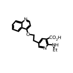 CCNc1ncc(CCOc2ccnc3ccccc23)cc1C(=O)O